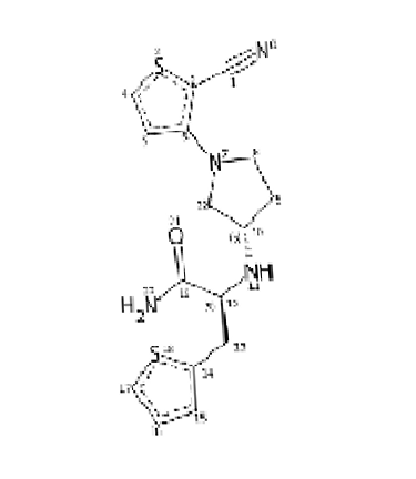 N#Cc1sccc1N1CC[C@H](N[C@@H](Cc2cccs2)C(N)=O)C1